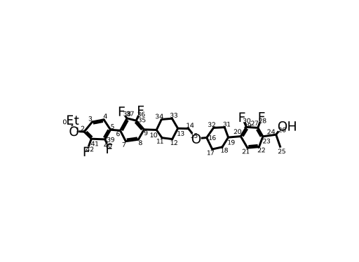 CCOc1ccc(-c2ccc(C3CCC(COC4CCC(c5ccc(C(C)O)c(F)c5F)CC4)CC3)c(F)c2F)c(F)c1F